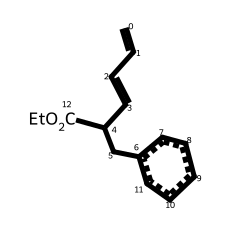 C=C/C=C/C(Cc1ccccc1)C(=O)OCC